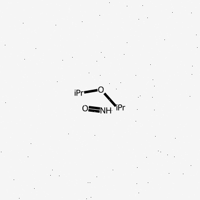 CC(C)OC(C)C.N=O